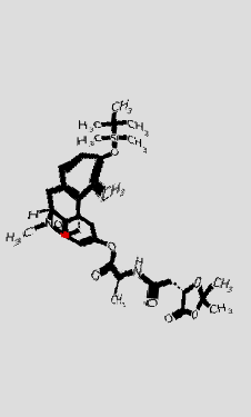 Cc1c(O[Si](C)(C)C(C)(C)C)ccc2c1[C@]13CCN(C)[C@H](C2)[C@]1(O)CC=C(OC(=O)[C@H](C)NC(=O)C[C@@H]1OC(C)(C)OC1=O)C3